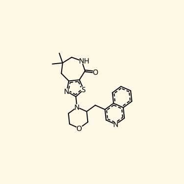 CC1(C)CNC(=O)c2sc(N3CCOCC3Cc3cncc4ccccc34)nc2C1